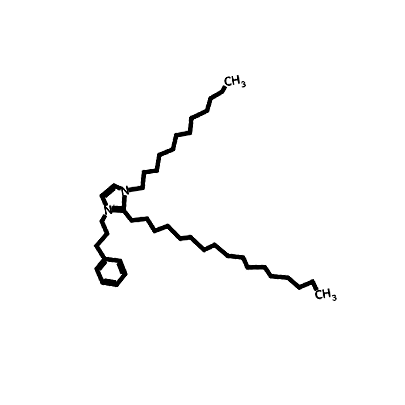 CCCCCCCCCCCCCCCCCc1n(CCCCCCCCCCCC)cc[n+]1CCCc1ccccc1